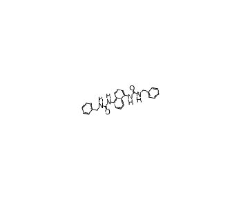 O=C(NCc1ccccc1)Nc1cccc2c(NC(=O)NCc3ccccc3)cccc12